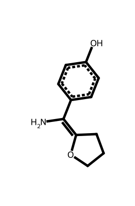 N/C(=C1/CCCO1)c1ccc(O)cc1